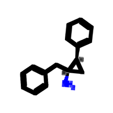 N[C@@]1(Cc2ccccc2)C[C@@H]1c1ccccc1